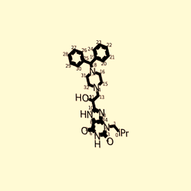 CC(C)Cn1c(=O)[nH]c(=O)c2[nH]c(C(O)CN3CCN(C(c4ccccc4)c4ccccc4)CC3)nc21